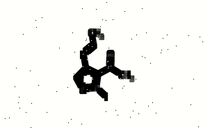 C/C=N/c1cnn(I)c1C(C)=O